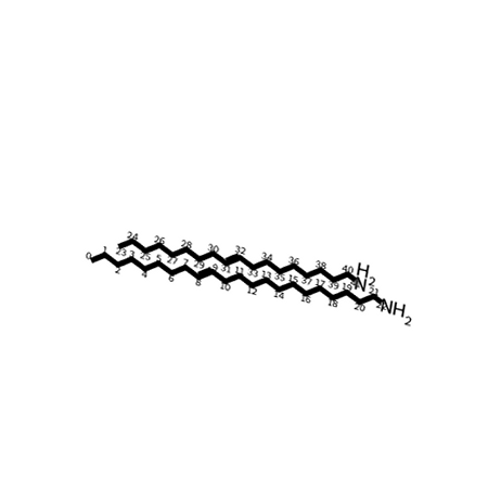 CCCCCCCCC=CCCCCCCCCCCCCN.CCCCCCCCC=CCCCCCCCCN